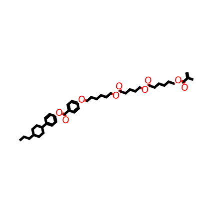 C=C(C)C(=O)OCCCCCC(=O)OCCCCC(=O)OCCCCCCOc1ccc(C(=O)Oc2ccc(C3CCC(CCC)CC3)cc2)cc1